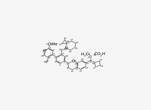 COc1cc(-c2ccc(C3CCc4ccc(C(C5CCC5)[C@H](C)C(=O)O)cc4O3)cc2CN2CCCCC23CC3)c(F)cn1